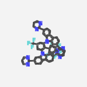 Fc1c(F)c(F)c(-c2c(-n3c4cc(-c5ncccn5)ccc4c4ccc(-c5ncccn5)cc43)cc(C(F)(F)F)cc2-n2c3cc(-c4ncccn4)ccc3c3ccc(-c4ncccn4)cc32)c(F)c1F